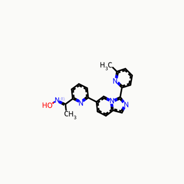 C/C(=N\O)c1cccc(-c2ccc3cnc(-c4cccc(C)n4)n3c2)n1